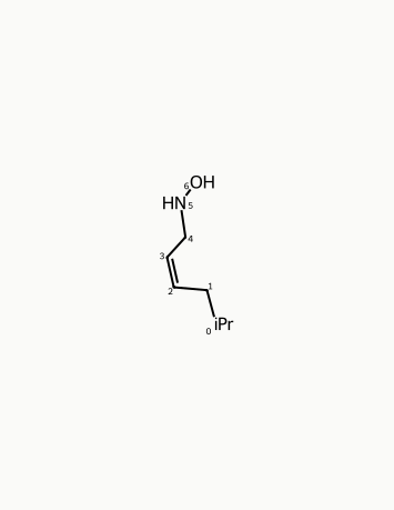 CC(C)C/C=C\CNO